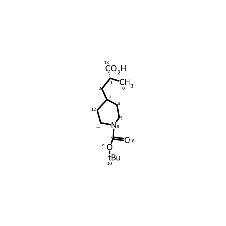 C[C@H](CC1CCN(C(=O)OC(C)(C)C)CC1)C(=O)O